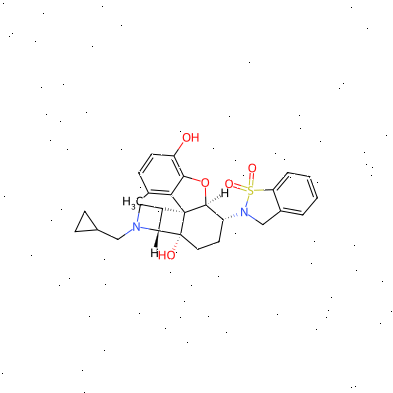 Cc1ccc(O)c2c1[C@]13C4CN(CC5CC5)[C@H]4[C@]1(O)CC[C@@H](N1Cc4ccccc4S1(=O)=O)[C@@H]3O2